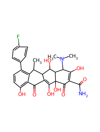 CC1c2c(-c3ccc(F)cc3)ccc(O)c2C(=O)C2=C(O)C3(O)C(=O)C(C(N)=O)=C(O)C(N(C)C)C3C(O)C21